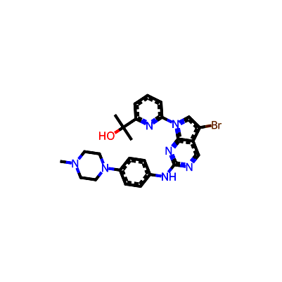 CN1CCN(c2ccc(Nc3ncc4c(Br)cn(-c5cccc(C(C)(C)O)n5)c4n3)cc2)CC1